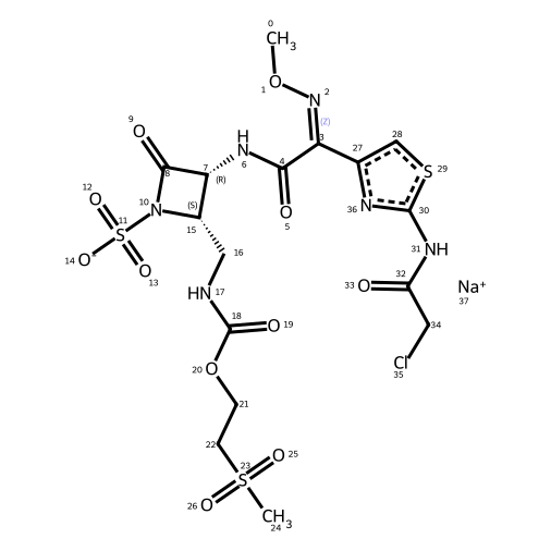 CO/N=C(\C(=O)N[C@H]1C(=O)N(S(=O)(=O)[O-])[C@H]1CNC(=O)OCCS(C)(=O)=O)c1csc(NC(=O)CCl)n1.[Na+]